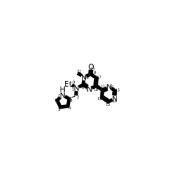 CCN(C[C@@H]1CCCN1)c1nc(-c2ccncn2)cc(=O)n1C